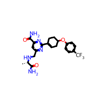 C[C@H](NCc1cc(C(N)=O)nc(C2=CCC(Oc3ccc(C(F)(F)F)cc3)CC2)n1)C(N)=O